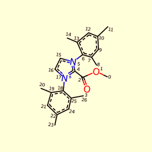 COC(=O)c1n(-c2c(C)cc(C)cc2C)cc[n+]1-c1c(C)cc(C)cc1C